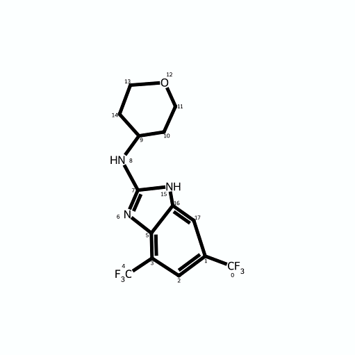 FC(F)(F)c1cc(C(F)(F)F)c2nc(NC3CCOCC3)[nH]c2c1